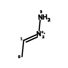 CC=[N+]N